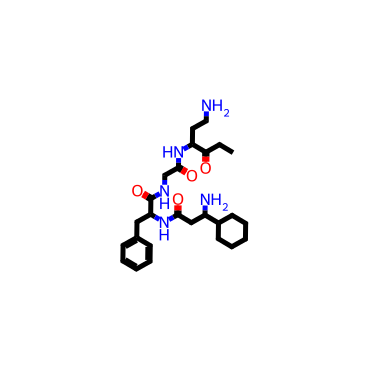 CCC(=O)C(CCN)NC(=O)CNC(=O)C(Cc1ccccc1)NC(=O)CC(N)C1CCCCC1